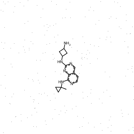 CC1(Nc2nccc3cnc(NC4CC(N)C4)nc23)CC1